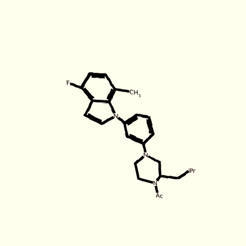 CC(=O)N1CCN(c2cccc(-n3ccc4c(F)ccc(C)c43)c2)CC1CC(C)C